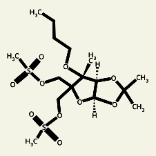 CCCCO[C@]1(C)[C@H]2OC(C)(C)O[C@H]2OC1(COS(C)(=O)=O)COS(C)(=O)=O